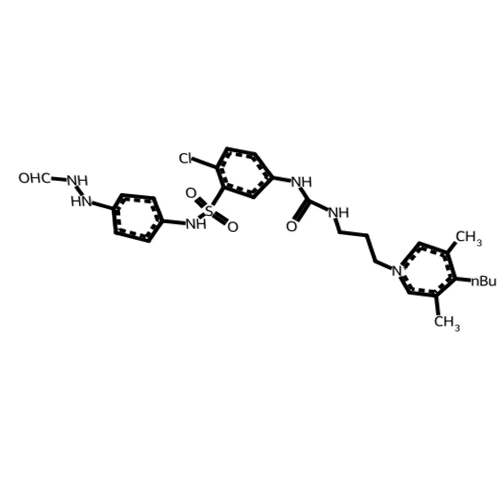 CCCCc1c(C)c[n+](CCCNC(=O)Nc2ccc(Cl)c(S(=O)(=O)Nc3ccc(NNC=O)cc3)c2)cc1C